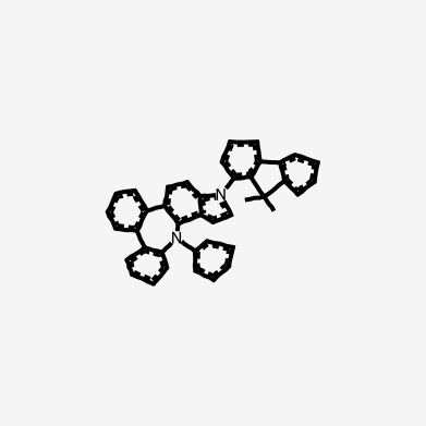 CC1(C)c2ccccc2-c2cccc(-n3ccc4c5c(ccc43)-c3ccccc3-c3ccccc3N5c3ccccc3)c21